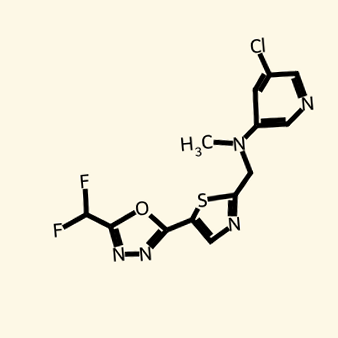 CN(Cc1ncc(-c2nnc(C(F)F)o2)s1)c1cncc(Cl)c1